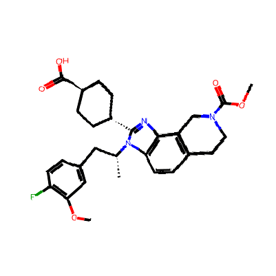 COC(=O)N1CCc2ccc3c(nc([C@H]4CC[C@H](C(=O)O)CC4)n3[C@H](C)Cc3ccc(F)c(OC)c3)c2C1